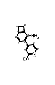 CCc1cc(-c2ccc3c(c2N)CC3)ccn1